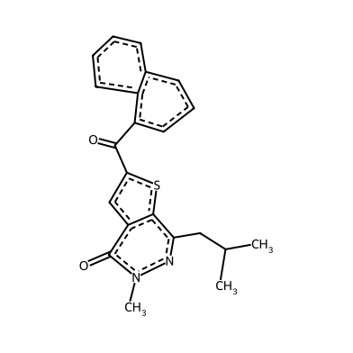 CC(C)Cc1nn(C)c(=O)c2cc(C(=O)c3cccc4ccccc34)sc12